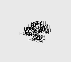 CO[C@]1(CC[C@H](C)CO[C@@H]2O[C@H](CO)[C@@H](O)[C@H](O)[C@H]2O)O[C@H]2C[C@H]3[C@@H]4CC[C@@H]5C[C@@H](O)[C@@H](O)C[C@]5(C)[C@H]4CC(O[C@@H]4O[C@H](CO)[C@H](O)[C@H](O[C@@H]5O[C@H](CO)[C@@H](O)[C@H](O)[C@H]5O)[C@H]4O)[C@]3(C)[C@H]2[C@@H]1C